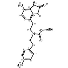 CC(C)(C)OC(=O)N(CCc1ccc(N)cc1)CCc1ccc(O)c2[nH]c(=O)sc12